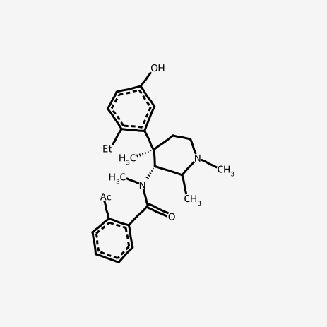 CCc1ccc(O)cc1[C@@]1(C)CCN(C)C(C)[C@@H]1N(C)C(=O)c1ccccc1C(C)=O